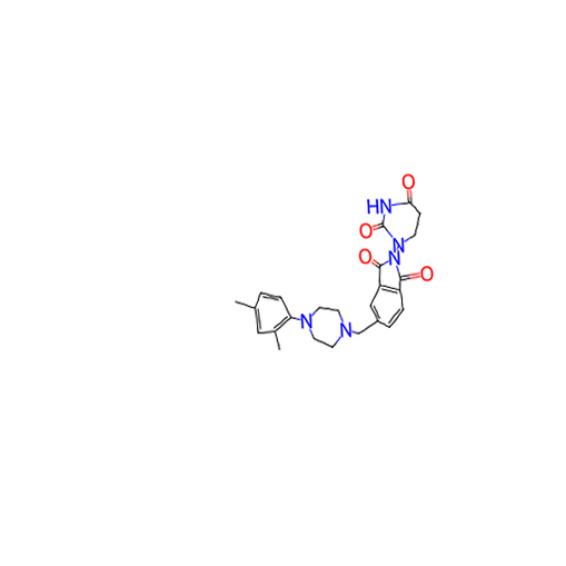 Cc1ccc(N2CCN(Cc3ccc4c(c3)C(=O)N(N3CCC(=O)NC3=O)C4=O)CC2)c(C)c1